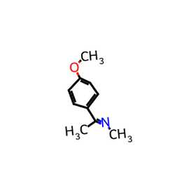 CN=C(C)c1ccc(OC)cc1